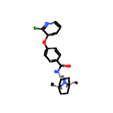 O=C(N[C@@H]1C[C@H]2CC[C@@H]1N2)c1ccc(Oc2cccnc2Cl)cc1